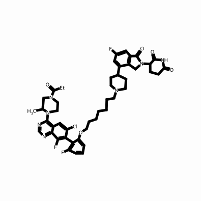 CCC(=O)N1CCN(c2ncnc3c(F)c(-c4c(F)cccc4OCCCCCCCN4CCC(c5cc(F)cc6c5CN(C5CCC(=O)NC5=O)C6=O)CC4)c(Cl)cc23)C(C)C1